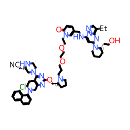 CCc1cnn2c(NCc3ccc(=O)n(CCOCCOCCCN4CCC[C@H]4COc4nc5c(c(N6CCN[C@@H](CC#N)C6)n4)CCN(c4cccc6cccc(Cl)c46)C5)c3)cc(N3CCCC[C@H]3CCO)nc12